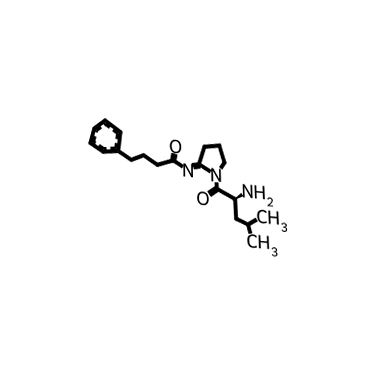 CC(C)C[C@H](N)C(=O)N1CCCC1=NC(=O)CCCc1ccccc1